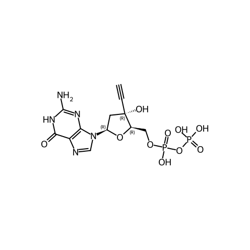 C#C[C@]1(O)C[C@H](n2cnc3c(=O)[nH]c(N)nc32)O[C@@H]1COP(=O)(O)OP(=O)(O)O